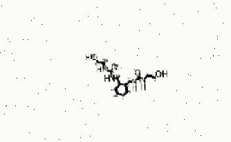 O=C(NCCO)NCC1CCCCC1CNC(=O)NCCO